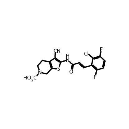 N#Cc1c(NC(=O)C=Cc2c(F)ccc(F)c2Cl)sc2c1CCN(C(=O)O)C2